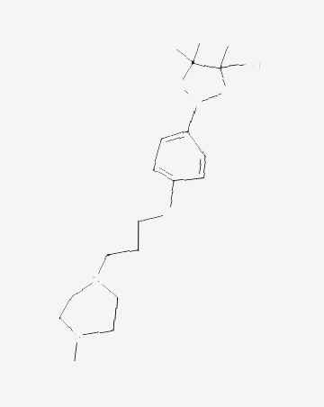 CN1CCN(CCCOc2ccc(B3OC(C)(C)C(C)(C)O3)cc2)CC1